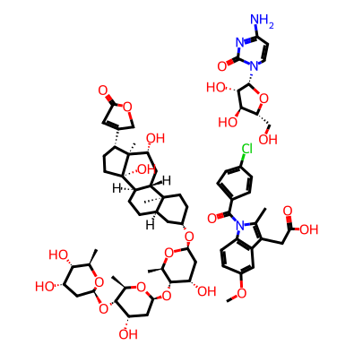 COc1ccc2c(c1)c(CC(=O)O)c(C)n2C(=O)c1ccc(Cl)cc1.C[C@H]1O[C@@H](O[C@H]2[C@@H](O)C[C@H](O[C@H]3[C@@H](O)C[C@H](O[C@H]4CC[C@@]5(C)[C@H](CC[C@@H]6[C@@H]5C[C@@H](O)[C@]5(C)[C@@H](C7=CC(=O)OC7)CC[C@]65O)C4)O[C@@H]3C)O[C@@H]2C)C[C@H](O)[C@@H]1O.Nc1ccn([C@@H]2O[C@H](CO)[C@@H](O)[C@@H]2O)c(=O)n1